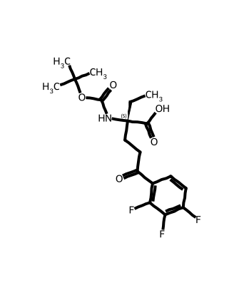 CC[C@@](CCC(=O)c1ccc(F)c(F)c1F)(NC(=O)OC(C)(C)C)C(=O)O